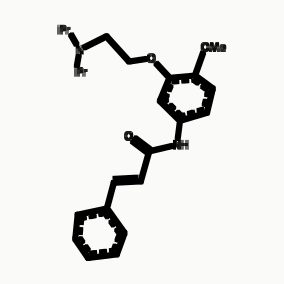 COc1ccc(NC(=O)/C=C/c2ccccc2)cc1OCCN(C(C)C)C(C)C